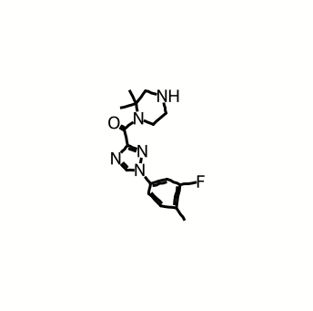 Cc1ccc(-n2cnc(C(=O)N3CCNCC3(C)C)n2)cc1F